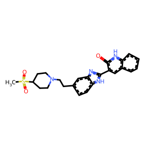 CS(=O)(=O)C1CCN(CCc2ccc3[nH]c(-c4cc5ccccc5[nH]c4=O)nc3c2)CC1